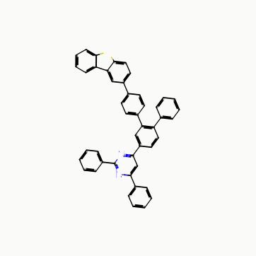 c1ccc(-c2cc(-c3ccc(-c4ccccc4)c(-c4ccc(-c5ccc6sc7ccccc7c6c5)cc4)c3)nc(-c3ccccc3)n2)cc1